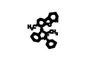 Cc1ccc2c(oc3ncccc32)c1N1c2ccccc2N(c2ccccc2)[C@@H]1C